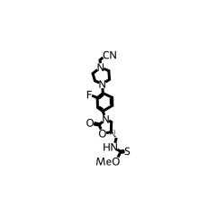 COC(=S)NC[C@H]1CN(c2ccc(N3CCN(CC#N)CC3)c(F)c2)C(=O)O1